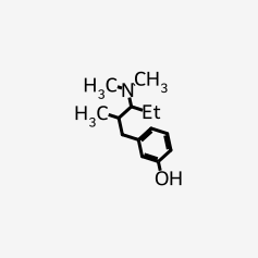 CCC(C(C)Cc1cccc(O)c1)N(C)C